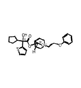 O=C(O[C@H]1C[N+]2(CCOc3ccccc3)CCC1CC2)[C@](O)(c1cccs1)C1CCCC1